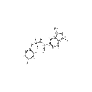 Cc1ccc(CC(C)(C)NC(=O)c2cnc3c(c2)c(F)cn3C)cc1